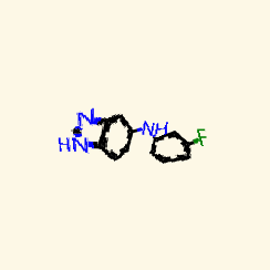 Fc1cccc(Nc2ccc3[nH]cnc3c2)c1